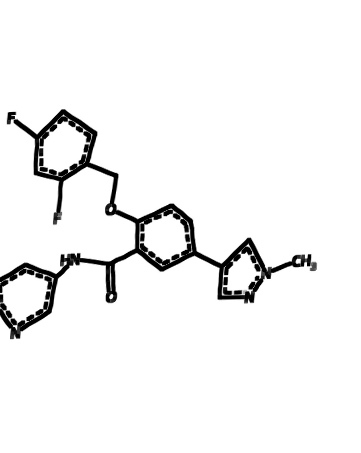 Cn1cc(-c2ccc(OCc3ccc(F)cc3F)c(C(=O)Nc3cccnc3)c2)cn1